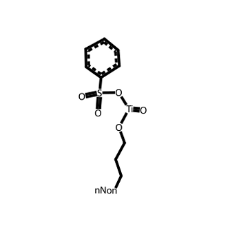 CCCCCCCCCCCC[O][Ti](=[O])[O]S(=O)(=O)c1ccccc1